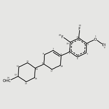 CCOc1ccc(C2=CCC(C3CCC(C=O)CC3)CC2)c(F)c1F